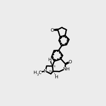 CN1C[C@@H]2CNC(=O)c3cc(-c4ccc5c(c4)C(=O)CC5)ccc3[C@H]2C1